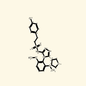 COc1cccc(OC)c1-n1c(NS(=O)(=O)CCc2ccc(Cl)cc2)nnc1[C@H]1CCOC1